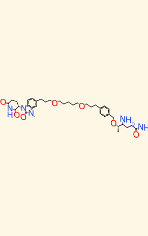 C[C@@H](OCc1ccc(CCCOCCCCCOCCCc2ccc3c(c2)n(C)c(=O)n3C2CCC(=O)NC2=O)cc1)[C@@H](N)CCC(N)=O